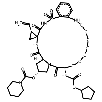 C=C[C@@H]1C[C@@]12NC(=O)[C@@H]1C[C@@H](OC(=O)N3CCCCC3)CN1C(=O)[C@@H](NC(=O)OC1CCCC1)CCCCCCCNc1ccccc1S(=O)(=O)NC2=O